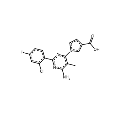 Cc1c(N)nc(-c2ccc(F)cc2Cl)nc1-n1ccc(C(=O)O)c1